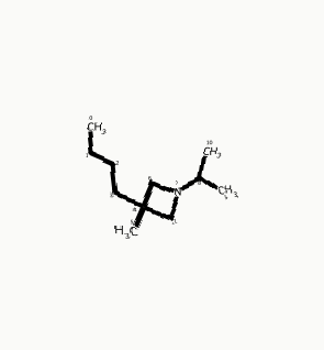 CCCCC1(C)CN(C(C)C)C1